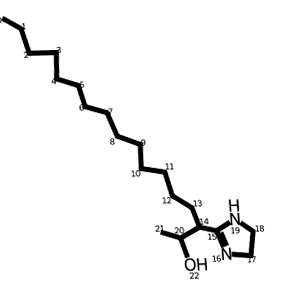 CCCCCCCCCCCCCCC(C1=NCCN1)C(C)O